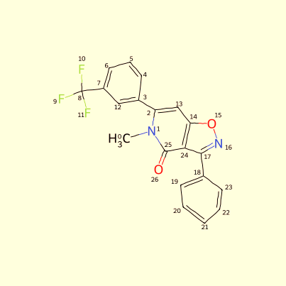 Cn1c(-c2cccc(C(F)(F)F)c2)cc2onc(-c3ccccc3)c2c1=O